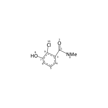 CNC(=O)c1cccc(O)c1Cl